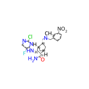 CN(Cc1cccc([N+](=O)[O-])c1)C[C@@H]1C[C@@H]2C[C@H]1[C@@H](Nc1nc(Cl)ncc1F)[C@H]2C(N)=O